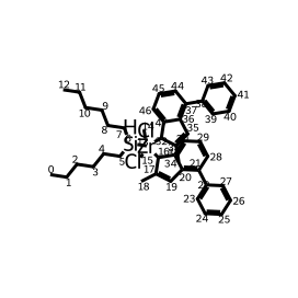 CCCCCC[SiH](CCCCCC)[Zr]([Cl])([Cl])([CH]1C(C)=Cc2c(-c3ccccc3)cccc21)[CH]1C(C)=Cc2c(-c3ccccc3)cccc21